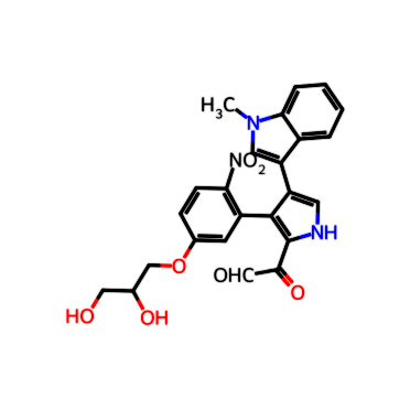 Cn1cc(-c2c[nH]c(C(=O)C=O)c2-c2cc(OCC(O)CO)ccc2[N+](=O)[O-])c2ccccc21